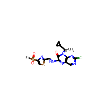 CCS(=O)(=O)c1csc(CNc2nc3cnc(Cl)nc3n([C@@H](C)C3CC3)c2=O)n1